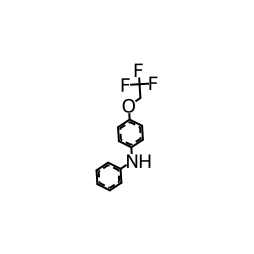 FC(F)(F)COc1ccc(Nc2ccccc2)cc1